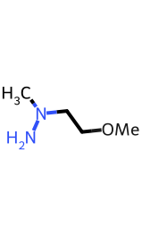 COCCN(C)N